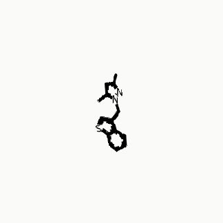 Cc1cc(C)n(Cc2csc3ccccc23)n1